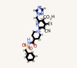 CCc1c(C#N)c(N2CCC(C(=O)NS(=O)(=O)Cc3ccccc3)CC2)nc(Cn2cncn2)c1C(=O)O